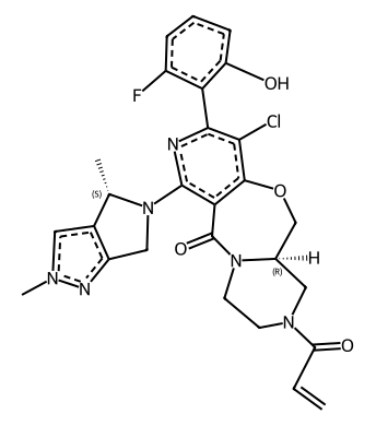 C=CC(=O)N1CCN2C(=O)c3c(N4Cc5nn(C)cc5[C@@H]4C)nc(-c4c(O)cccc4F)c(Cl)c3OC[C@H]2C1